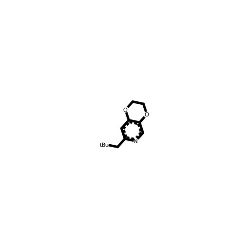 CC(C)(C)Cc1cc2c(cn1)OCCO2